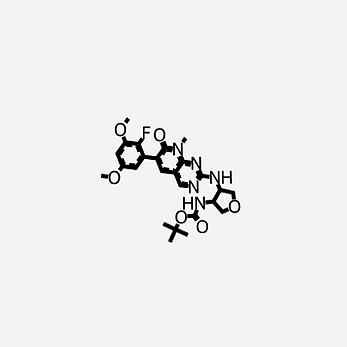 COc1cc(OC)c(F)c(-c2cc3cnc(NC4COCC4NC(=O)OC(C)(C)C)nc3n(C)c2=O)c1